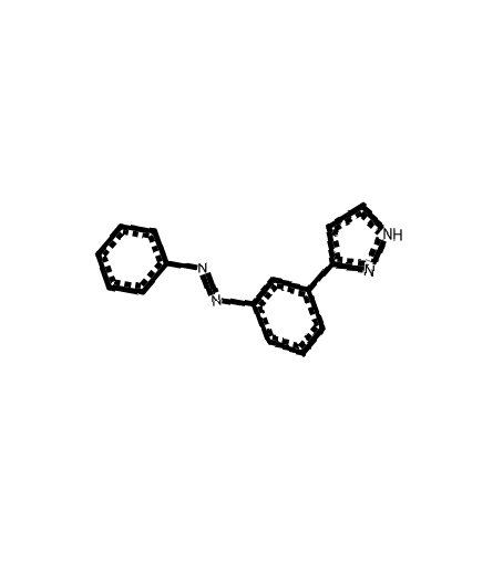 c1ccc(N=Nc2cccc(-c3cc[nH]n3)c2)cc1